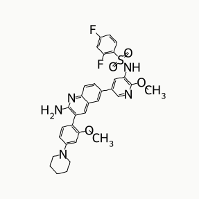 COc1cc(N2CCCCC2)ccc1-c1cc2cc(-c3cnc(OC)c(NS(=O)(=O)c4ccc(F)cc4F)c3)ccc2nc1N